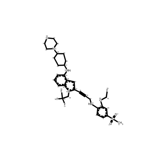 CS(=O)(=O)c1ccc(NCC#Cc2cc3c(NC4CCC(N5CCOCC5)CC4)cccc3n2CC(F)(F)F)c(OCF)c1